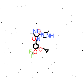 C[C@@H]1CN(C(=O)c2nc(-c3ccc(OC(F)F)c(OCC4CC4)c3)oc2[C@H](C)N)CCN1